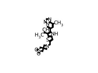 Cc1cc(-c2[nH]c3cc(CN4CC5(C4)CS(=O)(=O)C5)sc3c2C(C)C)cn2ncnc12